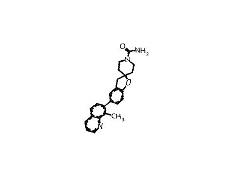 Cc1c(-c2ccc3c(c2)CC2(CCN(C(N)=O)CC2)O3)ccc2cccnc12